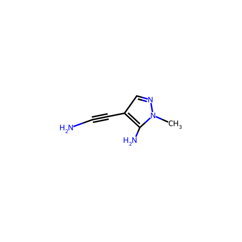 Cn1ncc(C#CN)c1N